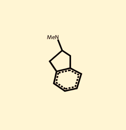 [CH2-][NH2+]C1Cc2ccccc2C1